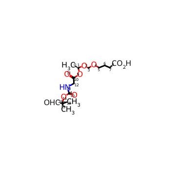 C[C@@H](OCOCCCC(=O)O)OC(=O)CNC(=O)OC(C)(C)C=O